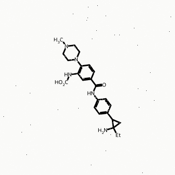 CCC1(N)CC1c1ccc(NC(=O)c2ccc(N3CCN(C)CC3)c(NC(=O)O)c2)cc1